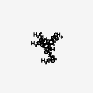 C=CCN1CC[C@@]2(c3cccc(OC(C)=O)c3)C[C@@H](NC(=O)C=Cc3ccoc3C)CC[C@]2(OC(C)=O)C1